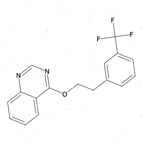 FC(F)(F)c1cccc(CCOc2ncnc3ccccc23)c1